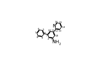 Nc1cc(-c2ccccc2)cc(-c2ccccn2)c1